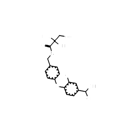 CC(O)c1ccc(Oc2ccc(CNC(=O)C(C)(C)CO)cc2)c(Cl)c1